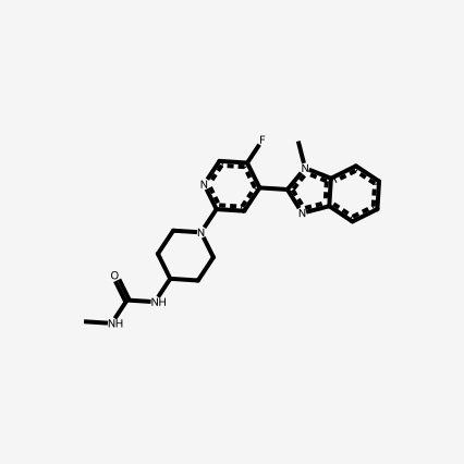 CNC(=O)NC1CCN(c2cc(-c3nc4ccccc4n3C)c(F)cn2)CC1